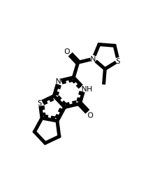 CC1SCCN1C(=O)c1nc2sc3c(c2c(=O)[nH]1)CCC3